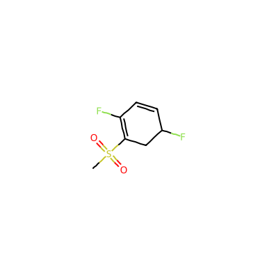 CS(=O)(=O)C1=C(F)C=CC(F)C1